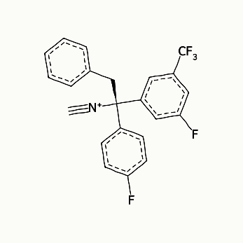 C#[N+][C@@](Cc1ccccc1)(c1ccc(F)cc1)c1cc(F)cc(C(F)(F)F)c1